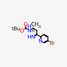 C[C@H](CC(=N)c1ccc(Br)cn1)NC(=O)OC(C)(C)C